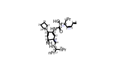 C=C/C=C\C(C(C)C)=[N+](\O)C(=O)NC1=C/C(=C/NC(CCC)CCC)C(=N)C=C1N1CCCC1